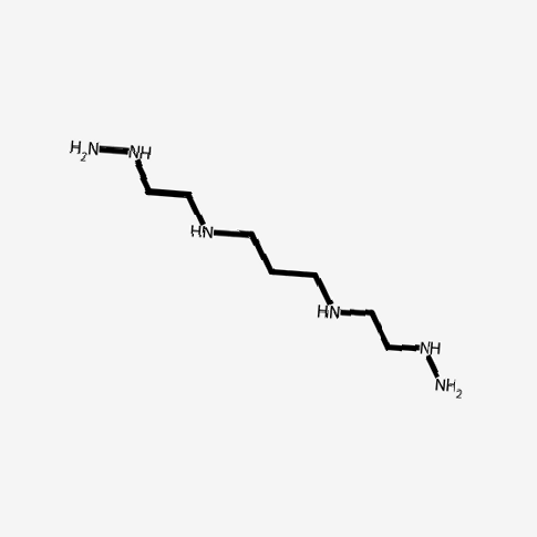 NNCCNCCCNCCNN